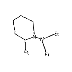 CCC1CCCCN1N(CC)CC